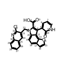 O=C(O)c1c(-c2ccc[nH]c2=O)c2c3occc3ccc2n1Cc1cc2ccccc2nc1Cl